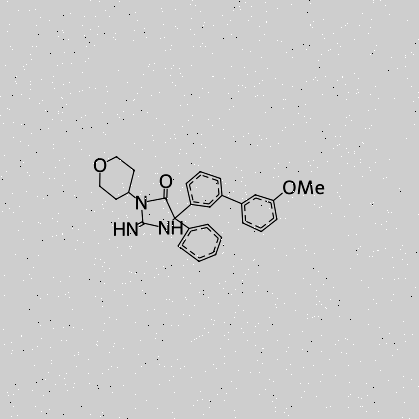 COc1cccc(-c2cccc(C3(c4ccccc4)NC(=N)N(C4CCOCC4)C3=O)c2)c1